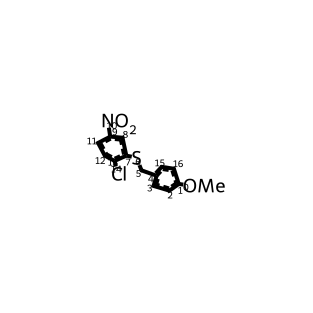 COc1ccc(CSc2cc([N+](=O)[O-])ccc2Cl)cc1